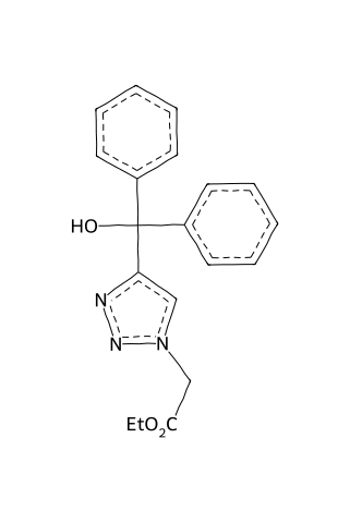 CCOC(=O)Cn1cc(C(O)(c2ccccc2)c2ccccc2)nn1